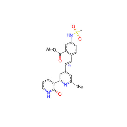 COC(=O)c1cc(NS(C)(=O)=O)ccc1/C=C/c1cc(-c2ccc[nH]c2=O)nc(C(C)(C)C)c1